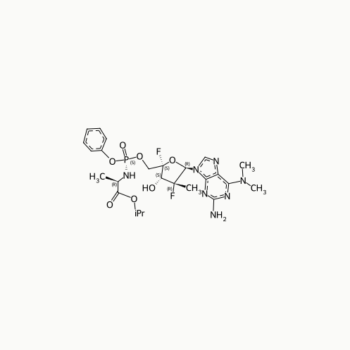 CC(C)OC(=O)[C@@H](C)N[P@](=O)(OC[C@@]1(F)O[C@@H](n2cnc3c(N(C)C)nc(N)nc32)[C@](C)(F)[C@@H]1O)Oc1ccccc1